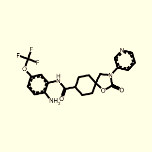 Nc1ccc(OC(F)(F)F)cc1NC(=O)C1CCC2(CC1)CN(c1cccnc1)C(=O)O2